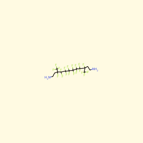 NCCC(F)(C(F)(F)F)C(F)(F)C(F)(F)C(F)(F)C(F)(F)C(F)(F)C(F)(F)C(F)(CCN)C(F)(F)F